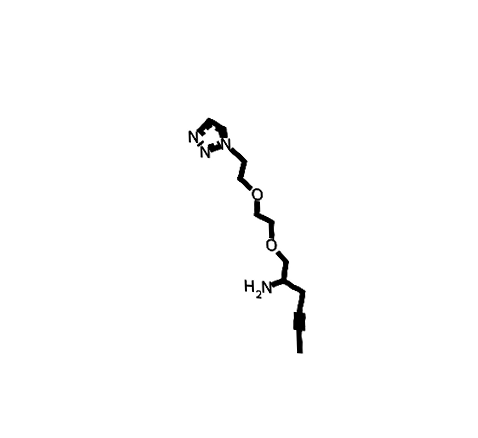 CC#CCC(N)COCCOCCn1ccnn1